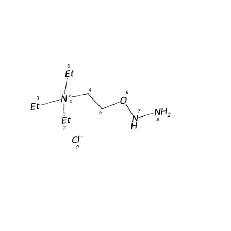 CC[N+](CC)(CC)CCONN.[Cl-]